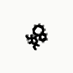 CCC(C)(C)CC(N1C/C=C\C=C/Cc2ccccc21)C(C)(CC)CC